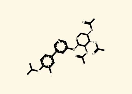 CC(=O)O[C@@H]1[C@@H](OC(C)=O)[C@@H](Oc2cncc(-c3ccc(OC(C)C)c(F)c3)c2)SC[C@H]1OC(C)=O